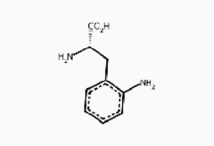 Nc1ccccc1C[C@H](N)C(=O)O